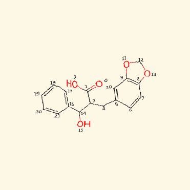 O=C(O)C(Cc1ccc2c(c1)OCO2)C(O)c1ccccc1